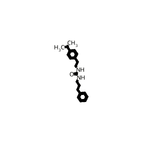 CC(C)c1ccc(CCNC(=O)NCCCc2ccccc2)cc1